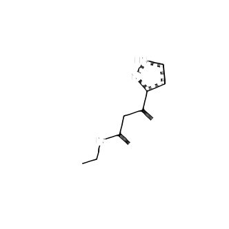 CCNC(=O)CC(=O)c1cc[nH]n1